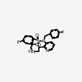 O=S(=O)(c1ccc(F)cc1)N(Cc1ccc(F)cc1)c1cccnc1C1CNCCO1